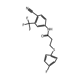 N#Cc1ccc(NC(=O)CCSc2ccc(F)cc2)cc1C(F)(F)F